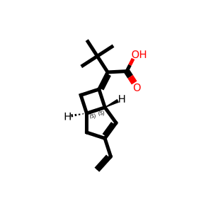 C=CC1=C[C@H]2C(=C(C(=O)O)C(C)(C)C)C[C@@H]2C1